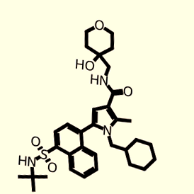 Cc1c(C(=O)NCC2(O)CCOCC2)cc(-c2ccc(S(=O)(=O)NC(C)(C)C)c3ccccc23)n1CC1CCCCC1